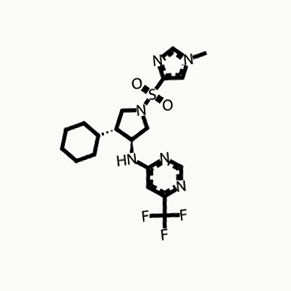 Cn1cnc(S(=O)(=O)N2C[C@@H](Nc3cc(C(F)(F)F)ncn3)[C@H](C3CCCCC3)C2)c1